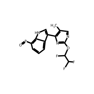 Cc1cnc(OC(F)C(F)F)nc1-c1c[nH]c2c(P=O)cccc12